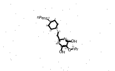 CCCCC[C@H]1CC[C@H](CCc2nc(O)c(OCCC)c(O)n2)CC1